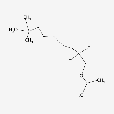 CC(C)OCC(F)(F)CCCCCC(C)(C)C